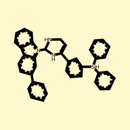 C1=C(c2cccc([SiH](c3ccccc3)c3ccccc3)c2)NC(n2c3ccccc3c3ccc(-c4ccccc4)cc32)NC1